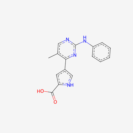 Cc1cnc(Nc2ccccc2)nc1-c1c[nH]c(C(=O)O)c1